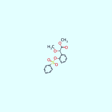 COC(=O)C(OC)c1ccccc1OS(=O)(=O)c1ccccc1